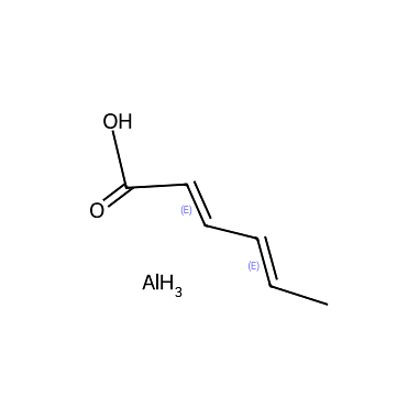 C/C=C/C=C/C(=O)O.[AlH3]